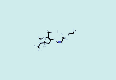 C[C@H](O)[C@@H]1C(=O)N2C(C(=O)O)=C(S/C=C\C(=O)OCCN)C[C@H]12